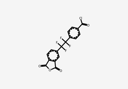 O=C(Cl)c1ccc(C(F)(F)C(F)(F)c2ccc3c(c2)C(=O)OC3=O)cc1